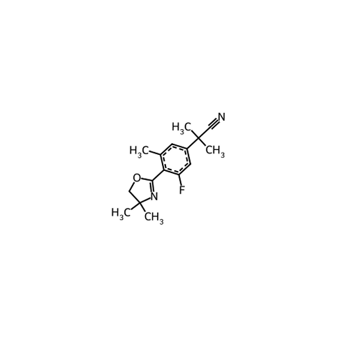 Cc1cc(C(C)(C)C#N)cc(F)c1C1=NC(C)(C)CO1